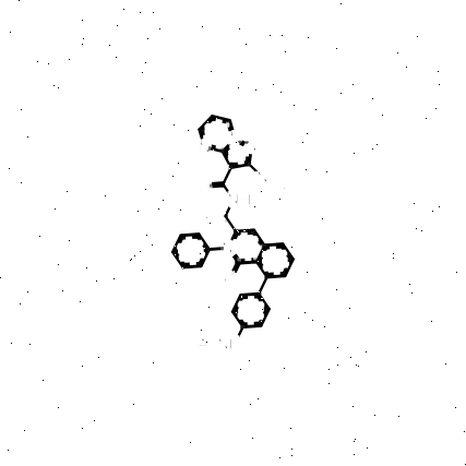 CC(=O)Nc1ccc(-c2cccc3cc([C@H](C)NC(=O)c4c(N)nn5cccnc45)n(-c4ccccc4)c(=O)c23)cc1